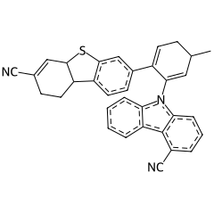 CC1C=C(n2c3ccccc3c3c(C#N)cccc32)C(c2ccc3c(c2)SC2C=C(C#N)CCC32)=CC1